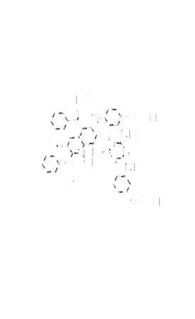 Cn1c(=O)c(C(=O)c2cccc(S(=O)(=O)O)c2)c2c3c(c(Nc4cc(Nc5nc(O)nc(Nc6cccc(C(=O)O)c6)n5)c(S(=O)(=O)O)cc4S(=O)(=O)O)ccc31)C(=O)c1ccccc1-2